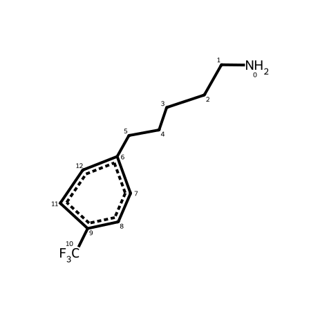 NCCCCCc1ccc(C(F)(F)F)cc1